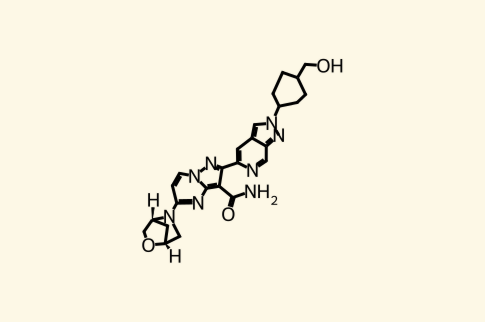 NC(=O)c1c(-c2cc3cn(C4CCC(CO)CC4)nc3cn2)nn2ccc(N3C[C@H]4C[C@@H]3CO4)nc12